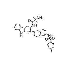 Cc1ccc(S(=O)(=O)Nc2ccc3c(c2)CCN(C(=O)C(Cc2c[nH]c4ccccc24)NC(=O)C(C)(C)N)C3)cc1